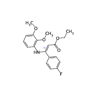 CCOC(=O)/C=C(/Nc1cccc(OC)c1OC)c1ccc(F)cc1